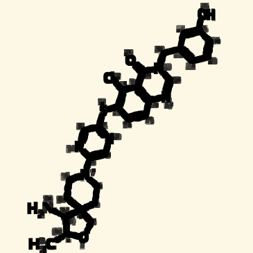 C[C@@H]1OCC2(CCN(c3cnc(Sc4ccc5ncn(Cc6cccc(O)c6)c(=O)c5c4Cl)cn3)CC2)[C@@H]1N